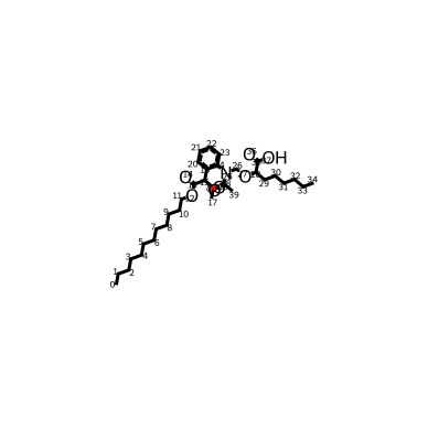 CCCCCCCCCCCCOC(=O)C(C(C)=O)c1ccccc1N(COC(CCCCCC)C(=O)O)C(C)=O